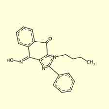 CCCCn1c(-c2ccccc2)nc2c1C(=O)c1ccccc1/C2=N\O